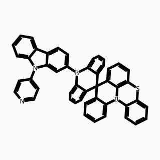 c1ccc2c(c1)Sc1cccc3c1B2c1ccccc1C31c2ccccc2B(c2ccc3c4ccccc4n(-c4ccncc4)c3c2)c2ccccc21